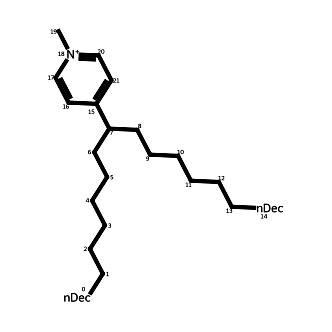 CCCCCCCCCCCCCCCCC(CCCCCCCCCCCCCCCC)c1cc[n+](C)cc1